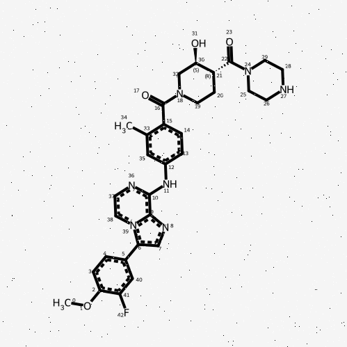 COc1ccc(-c2cnc3c(Nc4ccc(C(=O)N5CC[C@@H](C(=O)N6CCNCC6)[C@H](O)C5)c(C)c4)nccn23)cc1F